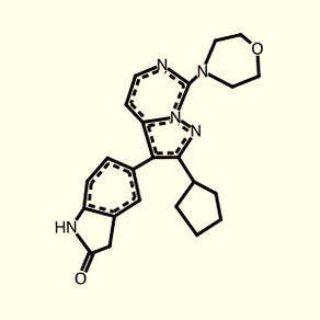 O=C1Cc2cc(-c3c(C4CCCC4)nn4c(N5CCOCC5)nccc34)ccc2N1